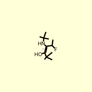 CC(F)/C(NC(C)(C)C)=C(/O)C(C)(C)C